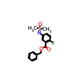 CS(C)(=O)=Nc1ccc(F)c(C(=O)OCc2ccccc2)c1